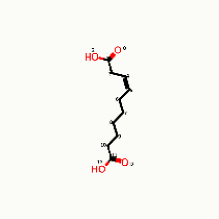 O=C(O)C/C=C\CCCCCC(=O)O